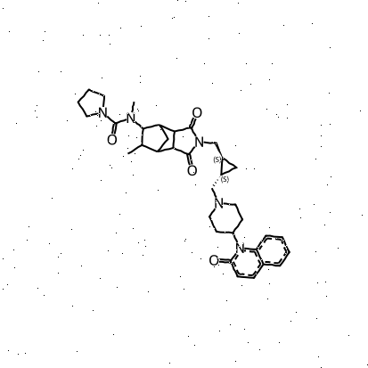 CC1C2CC(C3C(=O)N(C[C@H]4C[C@@H]4CN4CCC(n5c(=O)ccc6ccccc65)CC4)C(=O)C23)C1N(C)C(=O)N1CCCC1